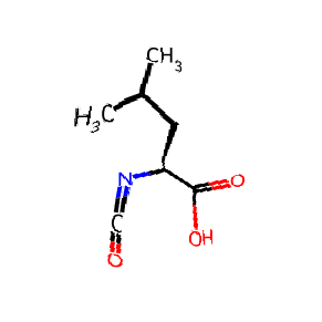 CC(C)C[C@H](N=C=O)C(=O)O